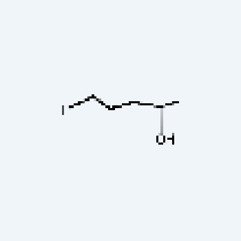 CC(O)CCCF